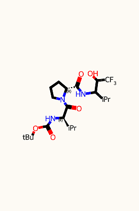 CC(C)C(NC(=O)[C@H]1CCCN1C(=O)[C@H](NC(=O)OC(C)(C)C)C(C)C)C(O)C(F)(F)F